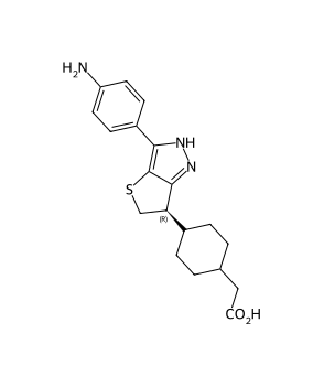 Nc1ccc(-c2[nH]nc3c2SC[C@@H]3C2CCC(CC(=O)O)CC2)cc1